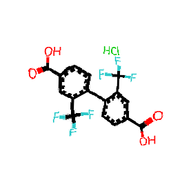 Cl.O=C(O)c1ccc(-c2ccc(C(=O)O)cc2C(F)(F)F)c(C(F)(F)F)c1